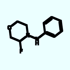 FC1COCCN1Nc1ccccc1